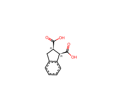 O=C(O)[C@@H]1Cc2ccccc2[C@@H]1C(=O)O